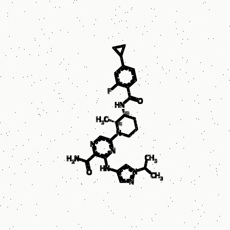 CC(C)n1cc(Nc2nc(N3CCC[C@@H](NC(=O)c4ccc(C5CC5)cc4F)[C@H]3C)cnc2C(N)=O)cn1